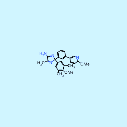 COc1ccc(-c2cccc(C3(c4cc(C)c(OC)c(C)c4)N=C(C)C(N)=N3)c2)cn1